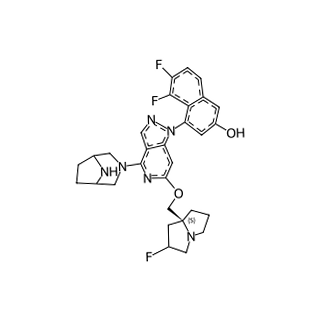 Oc1cc(-n2ncc3c(N4CC5CCC(C4)N5)nc(OC[C@@]45CCCN4CC(F)C5)cc32)c2c(F)c(F)ccc2c1